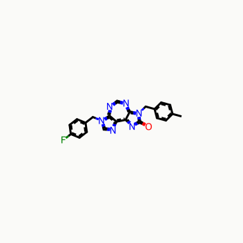 Cc1ccc(Cn2c3ncnc4c(ncn4Cc4ccc(F)cc4)c-3nc2=O)cc1